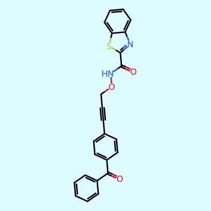 O=C(c1ccccc1)c1ccc(C#CCONC(=O)c2nc3ccccc3s2)cc1